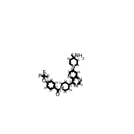 CC1(N)CCN(c2cnc3c(C4CCN(C(=O)c5ccc(OC(F)(F)F)cc5)CC4)ncnc3c2)CC1